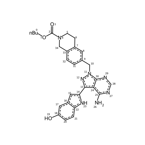 CCCCOC(=O)N1CCc2cc(Cn3nc(-c4cc5cc(O)ccc5[nH]4)c4c(N)ncnc43)ccc2C1